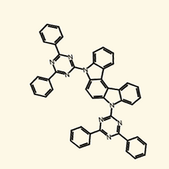 c1ccc(-c2nc(-c3ccccc3)nc(-n3c4ccccc4c4c5c6ccccc6n(-c6nc(-c7ccccc7)nc(-c7ccccc7)n6)c5ccc43)n2)cc1